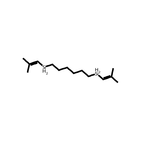 CC(C)=C[SiH2]CCCCCC[SiH2]C=C(C)C